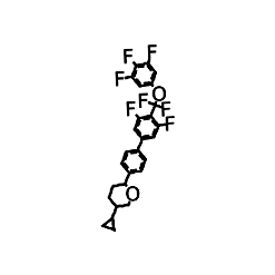 Fc1cc(OC(F)(F)c2c(F)cc(-c3ccc(C4CCC(C5CC5)CO4)cc3)cc2F)cc(F)c1F